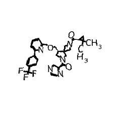 CC1(C)C[C@@H]1C(=O)N1CC2(CN(C(=O)c3cnccn3)C[C@H]2COCc2cccc(-c3ccc(C(F)(F)F)cc3)n2)C1